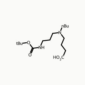 CCCCN(CCCNC(=O)OC(C)(C)C)CCCC(=O)O